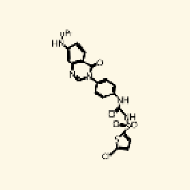 CCCNc1ccc2c(=O)n(-c3ccc(NC(=O)NS(=O)(=O)c4ccc(Cl)s4)cc3)cnc2c1